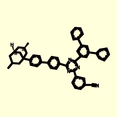 CC1C[C@H]2C[C@@H](C)CC(c3ccc(-c4ccc(-c5nc(-c6cccc(C#N)c6)nc(-c6cc(-c7ccccc7)cc(-c7ccccc7)c6)n5)cc4)cc3)(C1)C2